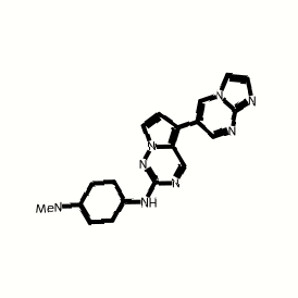 CNC1CCC(Nc2ncc3c(-c4cnc5nccn5c4)ccn3n2)CC1